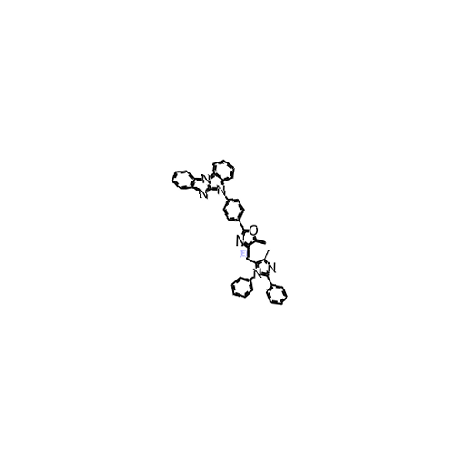 C=c1oc(-c2ccc(-n3c4ccccc4n4c5ccccc5nc34)cc2)n/c1=C/c1c(C)nc(-c2ccccc2)n1-c1ccccc1